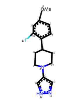 COc1ccc(C2CCN(c3cn[nH]c3)CC2)c(F)c1